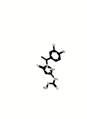 CC(c1ccc(Br)c(Cl)c1)n1[nH]c(NC(=O)OC(C)(C)C)cc1=O